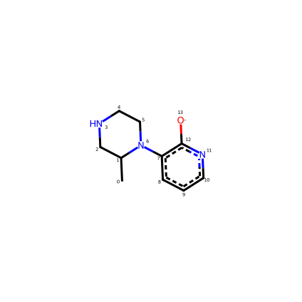 CC1CNCCN1c1cccnc1[O]